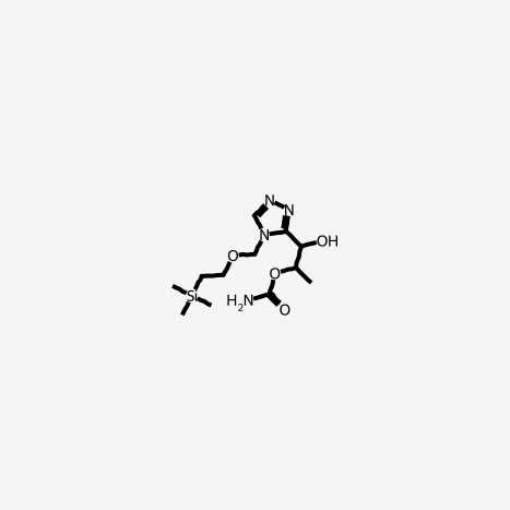 CC(OC(N)=O)C(O)c1nncn1COCC[Si](C)(C)C